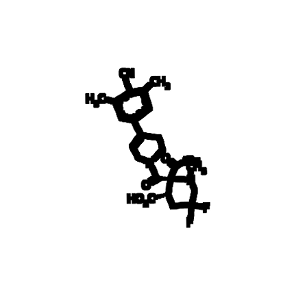 Cc1cc(C2=CCN(C(=O)[C@@]3(C(=O)C(C)(C)C)[C@@H](C(=O)O)CC(F)(F)CN3C)CC2)cc(C)c1C#N